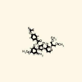 COCC(COC)n1nccc(N2C[C@@H](c3c(F)cc(OC)cc3P)[C@H](CC(=O)c3ccc(OC(F)F)cc3)C2=O)c1=O